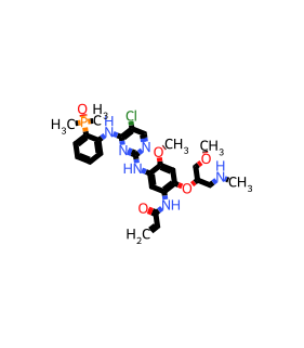 C=CC(=O)Nc1cc(Nc2ncc(Cl)c(Nc3ccccc3P(C)(C)=O)n2)c(OC)cc1OC(CNC)COC